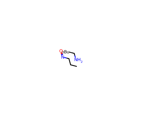 CCCCCN.CCCN=O